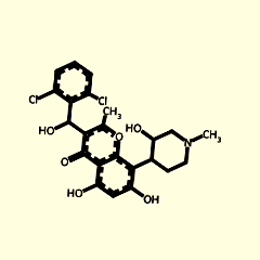 Cc1oc2c(C3CCN(C)CC3O)c(O)cc(O)c2c(=O)c1C(O)c1c(Cl)cccc1Cl